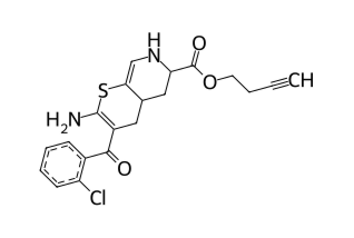 C#CCCOC(=O)C1CC2CC(C(=O)c3ccccc3Cl)=C(N)SC2=CN1